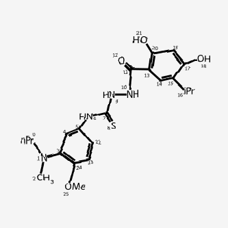 CCCN(C)c1cc(NC(=S)NNC(=O)c2cc(C(C)C)c(O)cc2O)ccc1OC